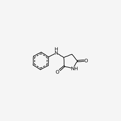 O=C1CC(Nc2ccccc2)C(=O)N1